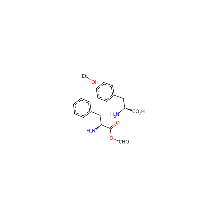 CCO.N[C@@H](Cc1ccccc1)C(=O)O.N[C@@H](Cc1ccccc1)C(=O)OC=O